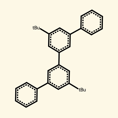 CC(C)(C)c1cc(-c2ccccc2)cc(-c2cc(-c3ccccc3)cc(C(C)(C)C)c2)c1